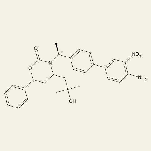 C[C@@H](c1ccc(-c2ccc(N)c([N+](=O)[O-])c2)cc1)N1C(=O)OC(c2ccccc2)CC1CC(C)(C)O